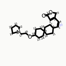 O=C1C=C(/C=C\C2CCC3(CC2)CCC(OCCN2CCCC2)CC3)CO1